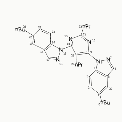 CCCCc1ccc2c(cnn2-c2nc(CCC)nc(-n3ncc4cc(CCCC)ccc43)c2CCC)c1